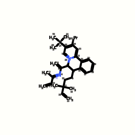 C=C/C(C)=N/C(=C)C1C(CCC(C)(C)C=C)c2ccccc2-c2cc(C(C)C)c([Si](C)(C)C)c[n+]21